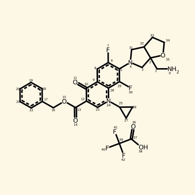 NCC12CN(c3c(F)cc4c(=O)c(C(=O)OCc5ccccc5)cn(C5CC5)c4c3F)CC1CCO2.O=C(O)C(F)(F)F